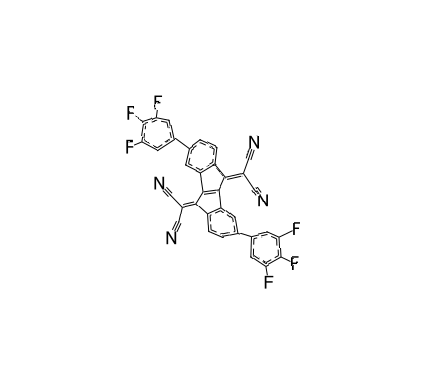 N#CC(C#N)=C1C2=C(C(=C(C#N)C#N)c3ccc(-c4cc(F)c(F)c(F)c4)cc32)c2cc(-c3cc(F)c(F)c(F)c3)ccc21